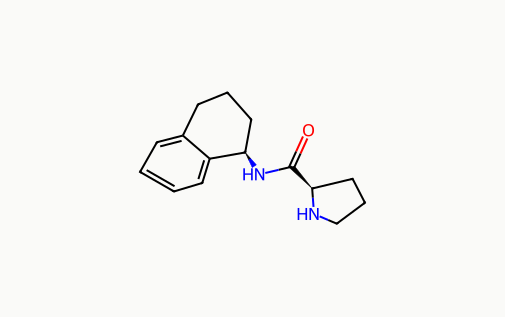 O=C(N[C@@H]1CCCc2ccccc21)[C@H]1CCCN1